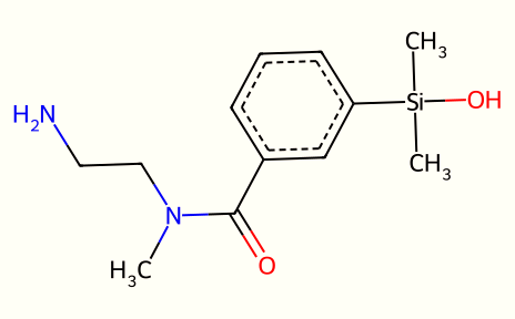 CN(CCN)C(=O)c1cccc([Si](C)(C)O)c1